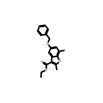 CCOC(=O)c1c(C)oc2c(F)cc(OCc3ccccc3)cc12